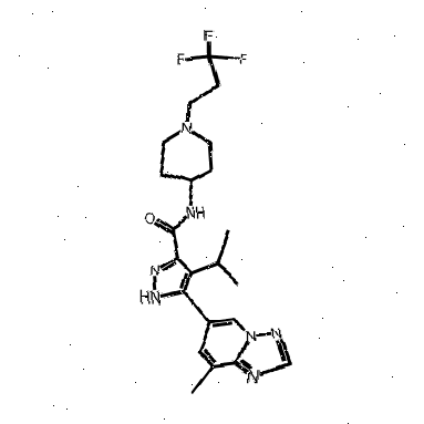 Cc1cc(-c2[nH]nc(C(=O)NC3CCN(CCC(F)(F)F)CC3)c2C(C)C)cn2ncnc12